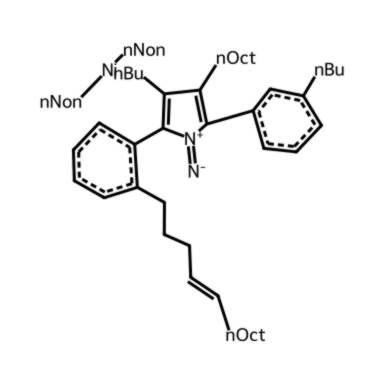 CCCCCCCCC=CCCCc1ccccc1C1=C(CCCC)C(CCCCCCCC)=C(c2cccc(CCCC)c2)[N+]1=[N-].CCCCCCCC[CH2][Ni][CH2]CCCCCCCC